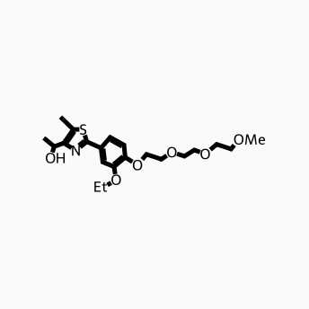 CCOc1cc(-c2nc(C(C)O)c(C)s2)ccc1OCCOCCOCCOC